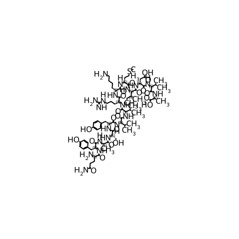 CC[C@H](C)[C@H](NC(=O)[C@H](CCSC)NC(=O)[C@H](CCCCN)NC(=O)[C@H](CCCNC(=N)N)NC(=O)[C@@H](NC(=O)[C@@H](NC(=O)[C@H](Cc1ccc(O)cc1)NC(=O)[C@H](CO)NC(=O)[C@H](C)NC(=O)[C@H](Cc1ccc(O)cc1)NC(=O)[C@@H](N)CCC(N)=O)C(C)C)C(C)C)C(=O)N[C@@H](CC(=O)O)C(=O)N[C@H](C(=O)N[C@@H](C)C(=O)O)C(C)C